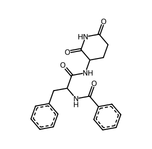 O=C1CCC(NC(=O)C(Cc2ccccc2)NC(=O)c2ccccc2)C(=O)N1